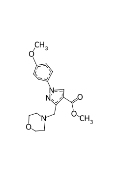 COC(=O)c1cn(-c2ccc(OC)cc2)nc1CN1CCOCC1